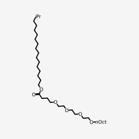 CCCCCCCCOCCOCCOCCOCCCC(=O)OCCCCCCCCCCCCCCCC(C)C